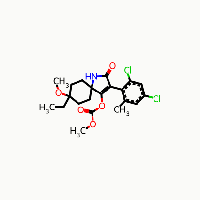 CCC1(OC)CCC2(CC1)NC(=O)C(c1c(C)cc(Cl)cc1Cl)=C2OC(=O)OC